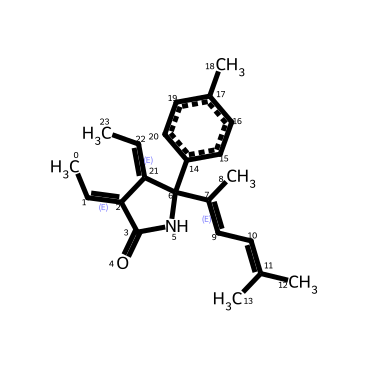 C/C=C1/C(=O)NC(/C(C)=C/C=C(C)C)(c2ccc(C)cc2)/C1=C/C